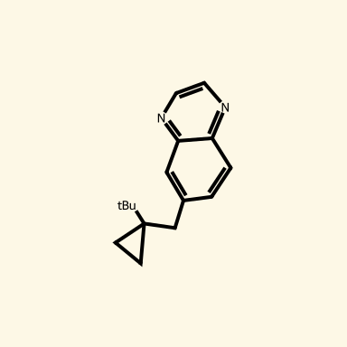 CC(C)(C)C1(Cc2ccc3nccnc3c2)CC1